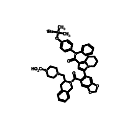 CC(C)(C)[Si](C)(C)Oc1ccc(N(C(=O)c2cc(-c3cc4c(cc3C(=O)N3Cc5ccccc5CC3CN3CCN(C(=O)O)CC3)OCO4)n3c2CCCC3)c2ccccc2)cc1